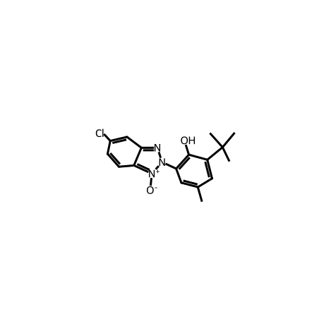 Cc1cc(-n2nc3cc(Cl)ccc3[n+]2[O-])c(O)c(C(C)(C)C)c1